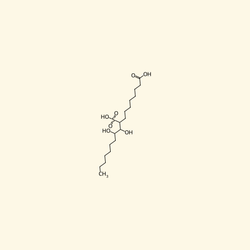 CCCCCCCC(O)C(O)C(CCCCCCCC(=O)O)S(=O)(=O)O